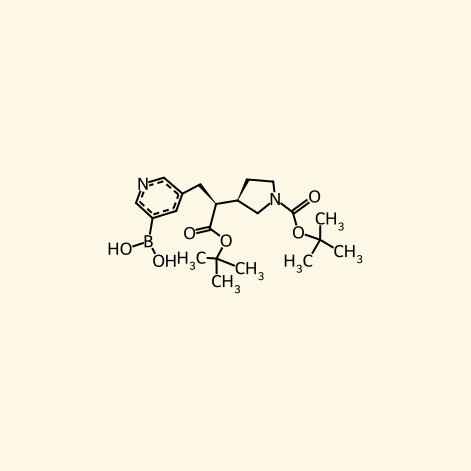 CC(C)(C)OC(=O)[C@@H](Cc1cncc(B(O)O)c1)[C@H]1CCN(C(=O)OC(C)(C)C)C1